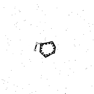 O=[CH][Ni].c1ccccc1